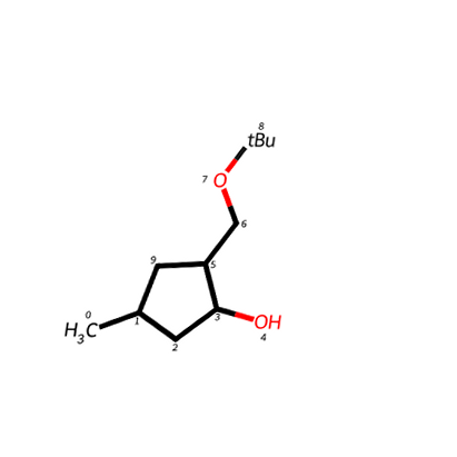 CC1CC(O)C(COC(C)(C)C)C1